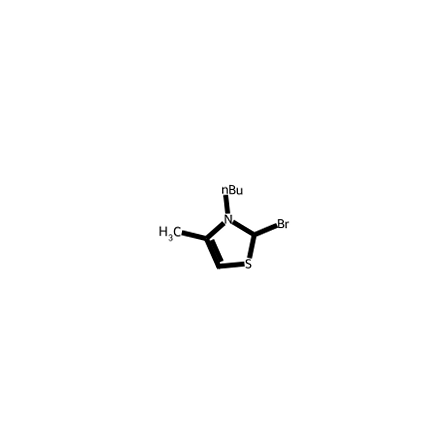 CCCCN1C(C)=CSC1Br